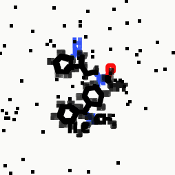 CCCC(=O)N(CCc1c[nH]c2ccccc12)C1CCC(C(c2ccccc2)N(C)C)CC1